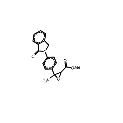 COC(=O)C1OC1(C)c1ccc(N2Cc3ccccc3C2=O)cc1